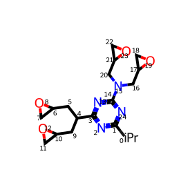 CC(C)c1nc(C(CC2CO2)CC2CO2)nc(N(CC2CO2)CC2CO2)n1